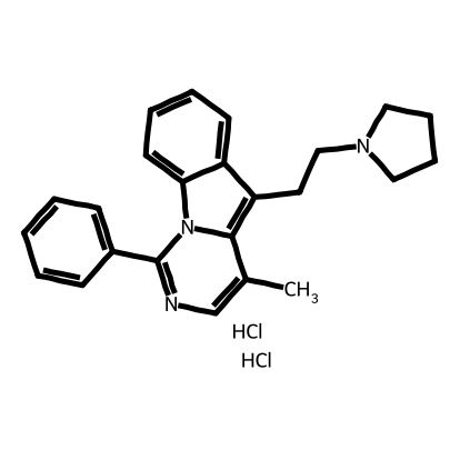 Cc1cnc(-c2ccccc2)n2c1c(CCN1CCCC1)c1ccccc12.Cl.Cl